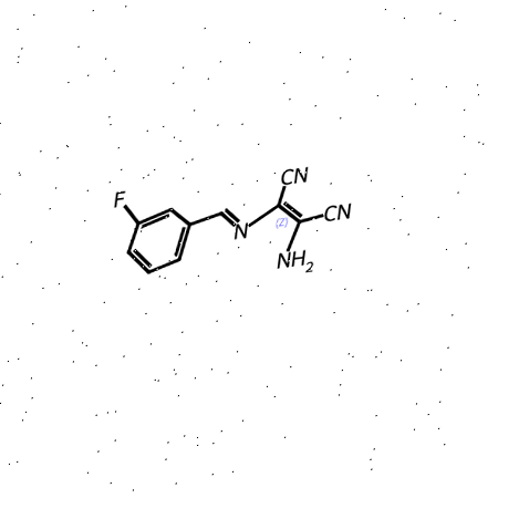 N#C/C(N)=C(\C#N)N=Cc1cccc(F)c1